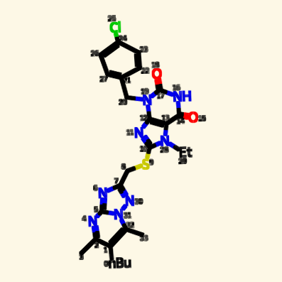 CCCCc1c(C)nc2nc(CSc3nc4c(c(=O)[nH]c(=O)n4Cc4ccc(Cl)cc4)n3CC)nn2c1C